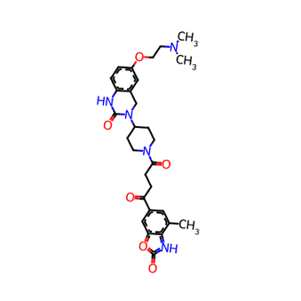 Cc1cc(C(=O)CCC(=O)N2CCC(N3Cc4cc(OCCN(C)C)ccc4NC3=O)CC2)cc2oc(=O)[nH]c12